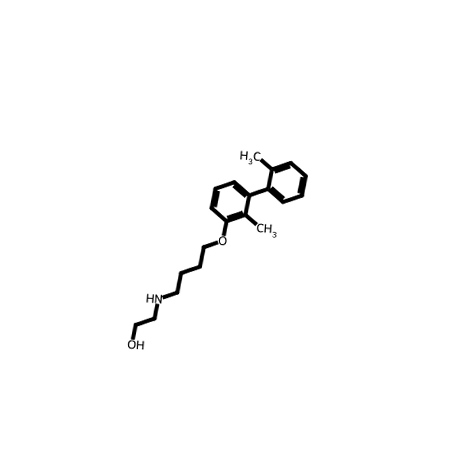 Cc1ccccc1-c1cccc(OCCCCNCCO)c1C